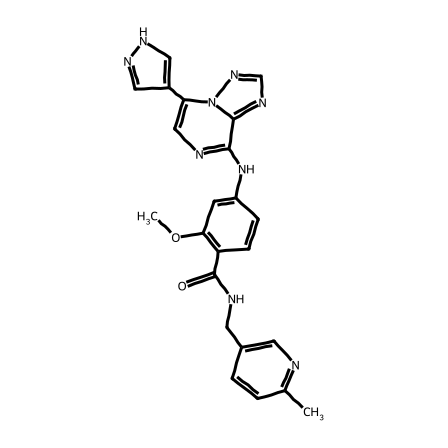 COc1cc(Nc2ncc(-c3cn[nH]c3)n3ncnc23)ccc1C(=O)NCc1ccc(C)nc1